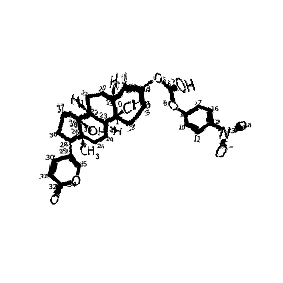 C[C@]12CC[C@H](OC(O)Oc3ccc([N+](=O)[O-])cc3)C[C@H]1CC[C@@H]1[C@@H]2CC[C@]2(C)[C@@H](c3ccc(=O)oc3)CC[C@]12O